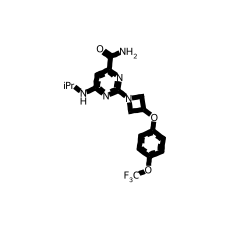 CC(C)Nc1cc(C(N)=O)nc(N2CC(Oc3ccc(OC(F)(F)F)cc3)C2)n1